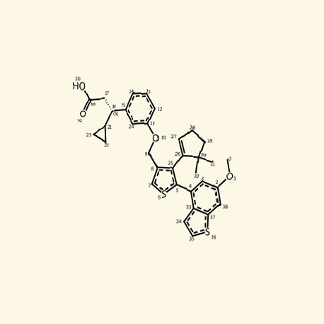 COc1cc(-c2scc(COc3cccc([C@@H](CC(=O)O)C4CC4)c3)c2C2=CCCC2(C)C)c2ccsc2c1